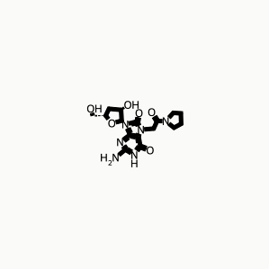 Nc1nc2c(c(=O)[nH]1)n(CC(=O)N1CCCC1)c(=O)n2[C@@H]1O[C@H](CO)C[C@H]1O